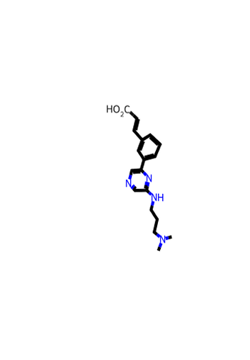 CN(C)CCCNc1cncc(-c2cccc(C=CC(=O)O)c2)n1